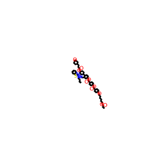 C=CCCN(/N=C/c1cc(OC(=O)c2ccc(OC(=O)c3ccc(OCCCCCCOC(=O)C=C)cc3)cc2)ccc1C1CCC(OC(=O)CCC2CCC3OC3C2)CC1)c1nc2ccccc2s1